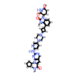 CN(C)C(=O)c1cc2cnc(Nc3ccc(N4CCN(C5CC(c6cccc7c6n(C)c(=O)n7[C@H]6CCC(=O)NC6=O)C5)CC4)cn3)nc2n1C1CCCC1